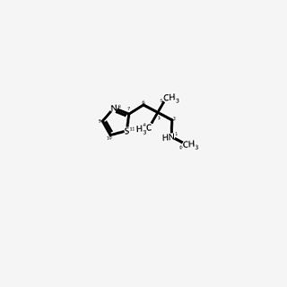 CNCC(C)(C)Cc1nccs1